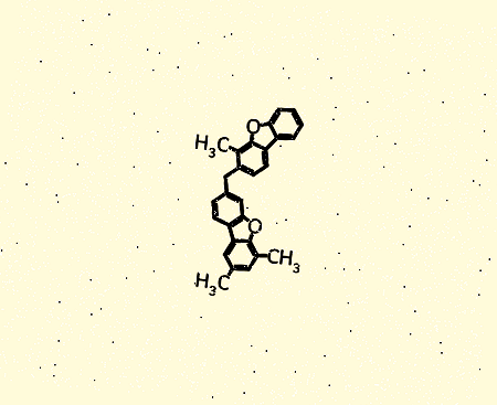 Cc1cc(C)c2oc3cc(Cc4ccc5c(oc6ccccc65)c4C)ccc3c2c1